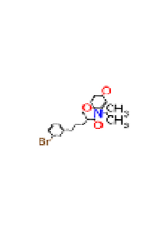 CC(C)N1C(=O)C(CCCc2cccc(Br)c2)COC12C=CC(=O)C=C2